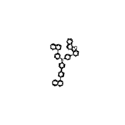 c1cc(-c2cccc3ccccc23)cc(N(c2ccc(-c3ccc(-c4cccc5ccccc45)cc3)cc2)c2ccc(-c3cccc4oc5c6ccccc6ccc5c34)cc2)c1